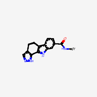 CC(C)NC(=O)c1ccc2c3c([nH]c2c1)-c1[nH]ncc1CC3